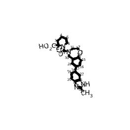 CCC1(C(=O)O)CCCCN1C(=O)N1CCOc2ccc(-c3ccc4nc(C)[nH]c4c3)cc2C1